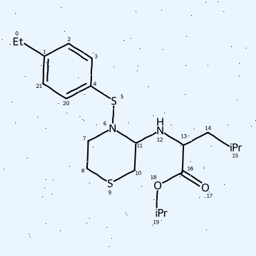 CCc1ccc(SN2CCSCC2NC(CC(C)C)C(=O)OC(C)C)cc1